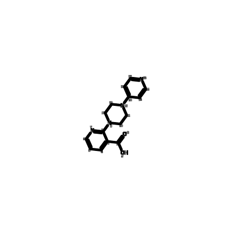 O=C(O)c1cccnc1N1CCN(c2ccncc2)CC1